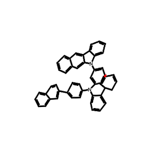 C1=CCC(c2ccccc2N(c2ccc(-c3ccc4ccccc4c3)cc2)c2cccc(-n3c4ccccc4c4cc5ccccc5cc43)c2)C=C1